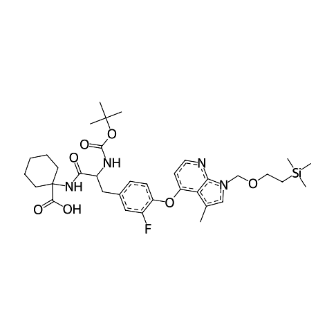 Cc1cn(COCC[Si](C)(C)C)c2nccc(Oc3ccc(CC(NC(=O)OC(C)(C)C)C(=O)NC4(C(=O)O)CCCCC4)cc3F)c12